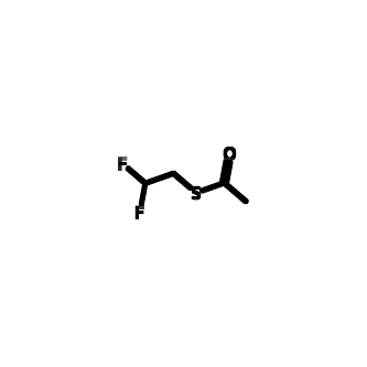 CC(=O)SCC(F)F